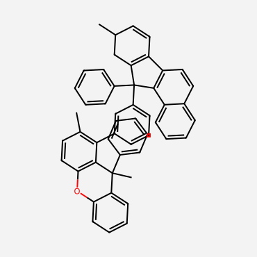 Cc1ccc2c(c1-c1cccc(C3(c4ccccc4)C4=C(C=CC(C)C4)c4ccc5ccccc5c43)c1)C(C)(c1ccccc1)c1ccccc1O2